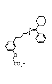 O=C(O)COc1cccc(CCCO/N=C(\c2ccccc2)C2CCCCC2)c1